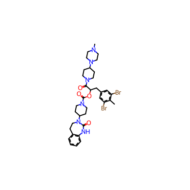 Cc1c(Br)cc(CC(OC(=O)N2CCC(N3CCc4ccccc4NC3=O)CC2)C(=O)N2CCC(N3CCN(C)CC3)CC2)cc1Br